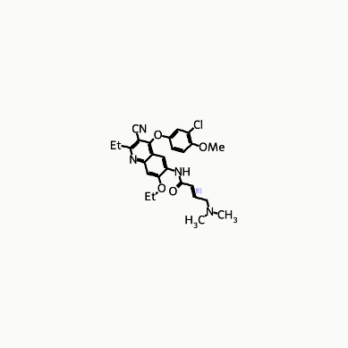 CCOc1cc2nc(CC)c(C#N)c(Oc3ccc(OC)c(Cl)c3)c2cc1NC(=O)/C=C/CN(C)C